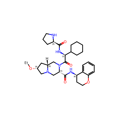 CCO[C@@H]1C[C@@H]2CN(C(=O)[C@@H](NC(=O)[C@H]3CCCN3)C3CCCCC3)[C@H](C(=O)N[C@@H]3CCOc4ccccc43)CN2C1